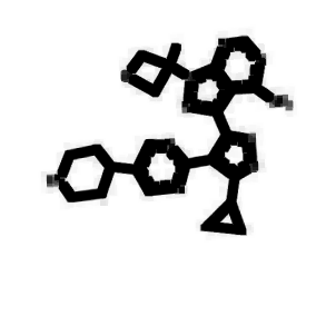 CC1(n2nc(-c3noc(C4CC4)c3-c3ncc(C4CCNCC4)cn3)c3c(N)ncnc32)COC1